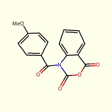 COc1ccc(C(=O)n2c(=O)oc(=O)c3ccccc32)cc1